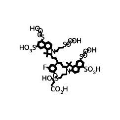 CC1(C)C(/C=C/C(=C/C=C2/N(CCCS(=O)(=O)O)c3ccc4c(S(=O)(=O)O)cc(SOOO)cc4c3C2(C)C)c2cc(F)cc(OCCCC(=O)O)c2)=[N+](CCCSOOO)c2ccc3c(SOOO)cc(S(=O)(=O)O)cc3c21